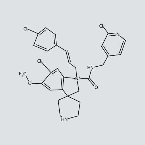 O=C(NCc1ccnc(Cl)c1)[N+]1(C/C=C/c2ccc(Cl)cc2)CC2(CCNCC2)c2cc(OC(F)(F)F)c(Cl)cc21